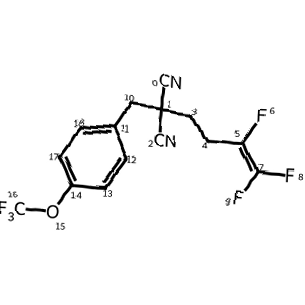 N#CC(C#N)(CCC(F)=C(F)F)Cc1ccc(OC(F)(F)F)cc1